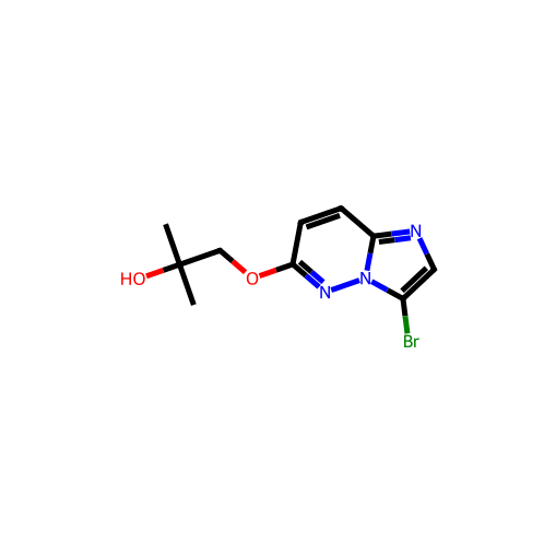 CC(C)(O)COc1ccc2ncc(Br)n2n1